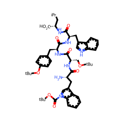 CC(C)C[C@H](NC(=O)[C@@H](Cc1c[nH]c2ccccc12)NC(=O)[C@H](Cc1ccc(OC(C)(C)C)cc1)NC(=O)[C@H](COC(C)(C)C)NC(=O)[C@@H](N)Cc1cn(C(=O)OC(C)(C)C)c2ccccc12)C(=O)O